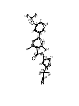 Cc1cc(-c2cncc(OC(F)F)c2)nc2c1C(=O)N(c1cnn(C(C)(C)C#N)c1)C2